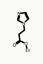 CCOC(=O)CCn1c[c]nc1